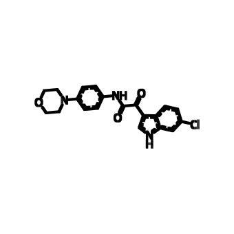 O=C(Nc1ccc(N2CCOCC2)cc1)C(=O)c1c[nH]c2cc(Cl)ccc12